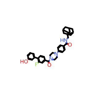 O=C(NCC12CC3CC(CC(C3)C1)C2)c1ccc(N2CCN(C(=O)c3ccc(-c4cccc(O)c4)c(F)c3)CC2)cc1